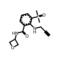 C#CCNc1c(C(=O)NC2COC2)cccc1P(C)(C)=O